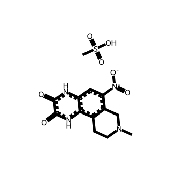 CN1CCc2c(c([N+](=O)[O-])cc3[nH]c(=O)c(=O)[nH]c23)C1.CS(=O)(=O)O